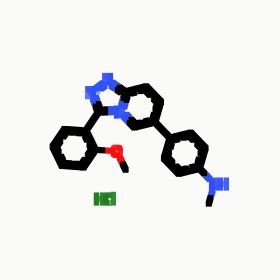 CNc1ccc(-c2ccc3nnc(-c4ccccc4OC)n3c2)cc1.Cl